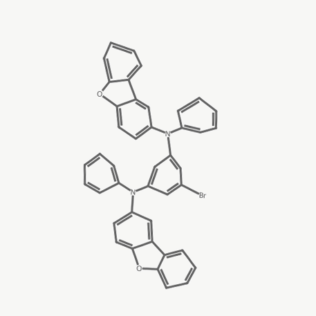 Brc1cc(N(c2ccccc2)c2ccc3oc4ccccc4c3c2)cc(N(c2ccccc2)c2ccc3oc4ccccc4c3c2)c1